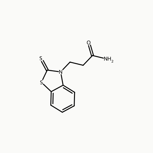 NC(=O)CCn1c(=S)sc2ccccc21